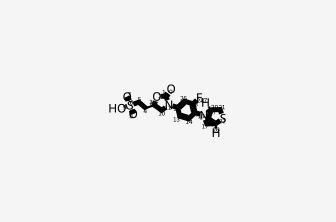 O=C1O[C@H](CCS(=O)(=O)O)CN1c1ccc(N2C[C@@H]3C[C@H]2CS3)c(F)c1